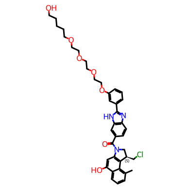 Cc1cccc2c(O)cc3c(c12)[C@H](CCl)CN3C(=O)c1ccc2nc(-c3cccc(OCCOCCOCCOCCCCCO)c3)[nH]c2c1